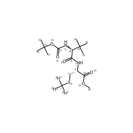 [2H]C([2H])([2H])SC[C@H](NC(=O)[C@@H](NC(=O)OC(C)(C)C)C(C)(C)C)C(=O)OC